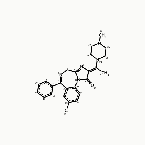 CC(=C1N=C2CN=C(c3ccccc3)c3cc(Cl)ccc3N2C1=O)N1CCN(C)CC1